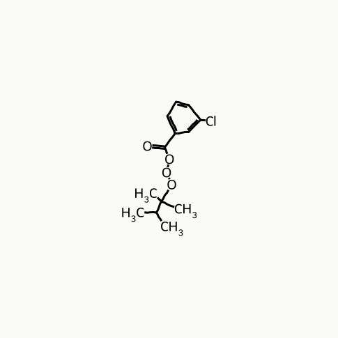 CC(C)C(C)(C)OOOC(=O)c1cccc(Cl)c1